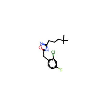 CC(C)(C)CCCc1noc(Cc2ccc(F)cc2Cl)n1